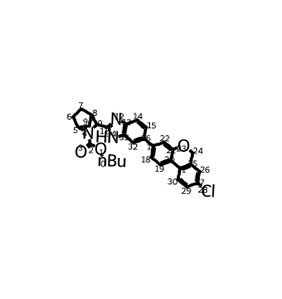 CCCCOC(=O)N1C2CCC(C2)C1c1nc2ccc(-c3ccc4c(c3)OCc3cc(Cl)ccc3-4)cc2[nH]1